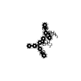 CC1(C)c2cc(N(c3ccc(-c4ccccc4)cc3)c3ccc(-c4nc5ccccc5o4)cc3)ccc2-c2ccc(N3c4ccccc4C(C)(C)c4cc(-c5nc6ccccc6o5)ccc43)cc21